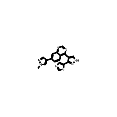 Cn1cc(-c2ccc3c(-c4c[nH]nc4-c4cncs4)ncnc3c2)cn1